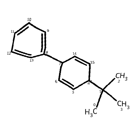 CC(C)(C)[C]1C=CC(c2ccccc2)C=C1